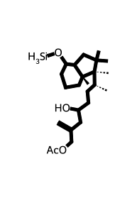 C=C(COC(C)=O)CC(O)CC[C@@H](C)[C@]1(C)C(C)(C)CC2C(O[SiH3])CCC[C@]21C